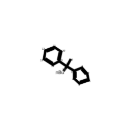 [CH2]C(CCCC)(c1ccccc1)c1ccccc1